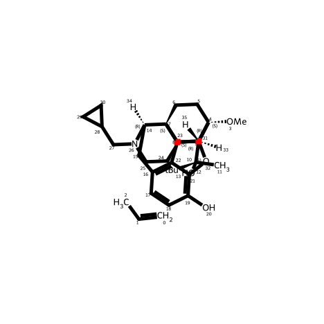 C=CC.CO[C@@]12CC[C@@]3(C[C@@H]1[C@](C)(O)C(C)(C)C)[C@H]1Cc4ccc(O)c5c4[C@@]3(CCN1CC1CC1)[C@H]2O5